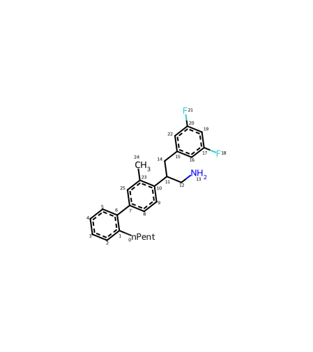 CCCCCc1ccccc1-c1ccc(C(CN)Cc2cc(F)cc(F)c2)c(C)c1